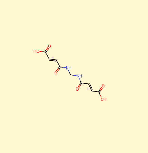 O=C(O)/C=C/C(=O)NCNC(=O)/C=C/C(=O)O